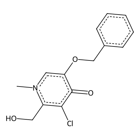 Cn1cc(OCc2ccccc2)c(=O)c(Cl)c1CO